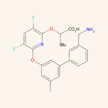 Cc1cc(Oc2nc(OC(C(=O)O)C(C)(C)C)c(F)cc2F)cc(-c2cccc(CN)c2)c1